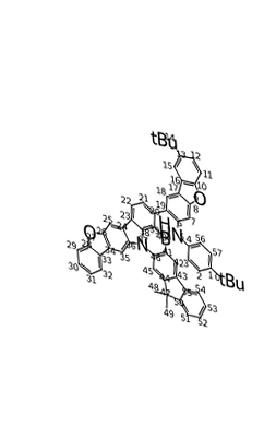 CC(C)(C)c1ccc(Nc2cc3oc4ccc(C(C)(C)C)cc4c3cc2-c2ccc3c4cc5oc6ccccc6c5cc4n4c3c2Bc2cc3c(cc2-4)C(C)(C)c2ccccc2-3)cc1